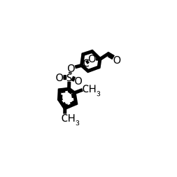 Cc1ccc(S(=O)(=O)OC23CCC(C=O)(CC2)OC3)c(C)c1